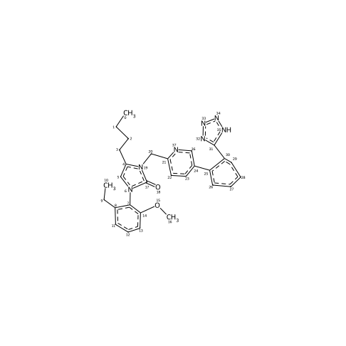 CCCCc1cn(-c2c(CC)cccc2OC)c(=O)n1Cc1ccc(-c2ccccc2-c2nnn[nH]2)cn1